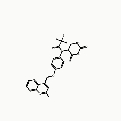 Cc1cc(COc2ccc(N(C(=O)C(F)(F)F)C3CNC(=O)NC3=O)cc2)c2ccccc2n1